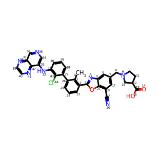 Cc1c(-c2nc3cc(CN4CCC(C(=O)O)C4)cc(C#N)c3o2)cccc1-c1cccc(Nc2cncc3nccnc23)c1Cl